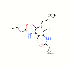 CC(=O)OCC(=O)Nc1c(I)c(CCC(=O)O)c(I)c(NC(=O)COC(C)=O)c1I